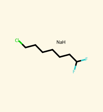 FC(F)CCCCCCCl.[NaH]